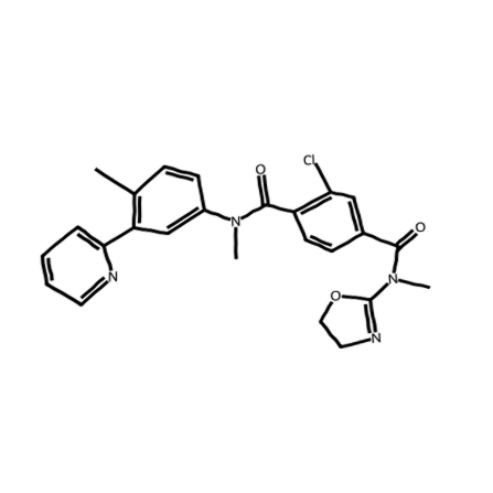 Cc1ccc(N(C)C(=O)c2ccc(C(=O)N(C)C3=NCCO3)cc2Cl)cc1-c1ccccn1